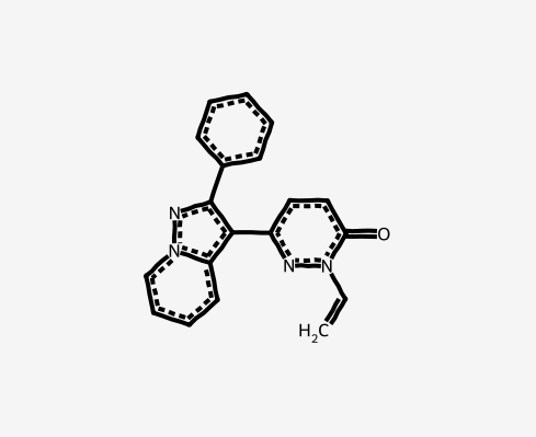 C=Cn1nc(-c2c(-c3ccccc3)nn3ccccc23)ccc1=O